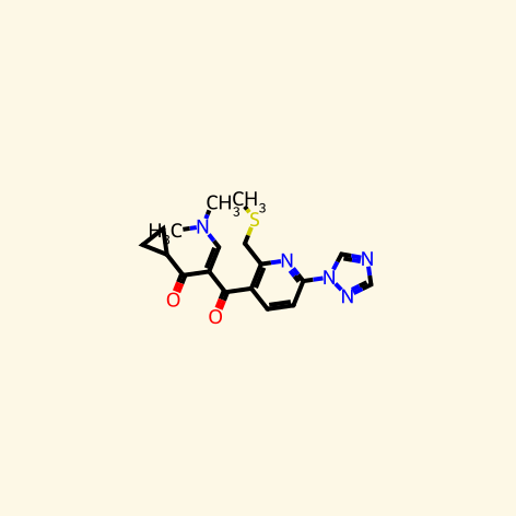 CSCc1nc(-n2cncn2)ccc1C(=O)/C(=C/N(C)C)C(=O)C1CC1